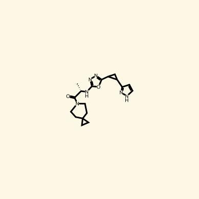 C[C@H](Nc1nnc(C2CC2c2cc[nH]n2)o1)C(=O)N1CCC2(CC1)CC2